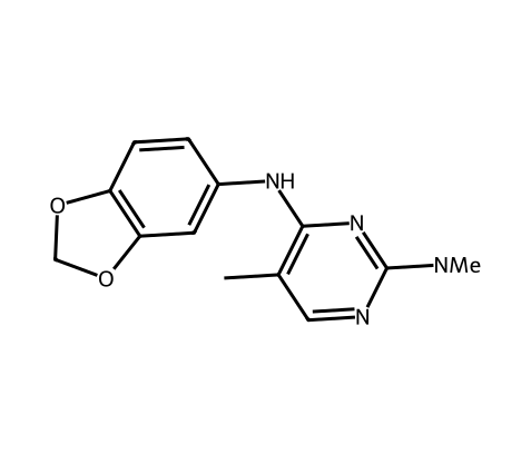 CNc1ncc(C)c(Nc2ccc3c(c2)OCO3)n1